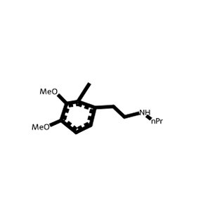 CCCNCCc1ccc(OC)c(OC)c1C